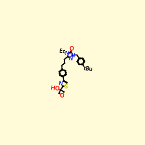 CCn1c(CCCc2ccc(-c3csc(C4(O)COC4)n3)cc2)nn(Cc2ccc(C(C)(C)C)cc2)c1=O